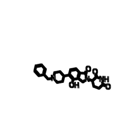 O=C1CCC(N2Cc3c(ccc(C4CCN(Cc5ccccc5)CC4)c3O)C2=O)C(=O)N1